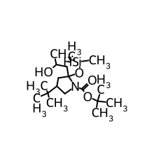 CC(O)CC1(O[SiH](C)C)CC(C(C)(C)C)CN1C(=O)OC(C)(C)C